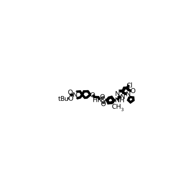 Cc1cc(S(=O)(=O)NCCOC2CCC3(CC2)CCN(C(=O)OC(C)(C)C)CC3)ccc1Nc1ncc2cc(Cl)c(=O)n(C3CCCC3)c2n1